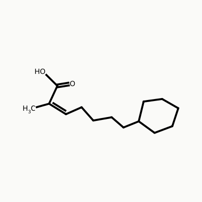 CC(=CCCCCC1CCCCC1)C(=O)O